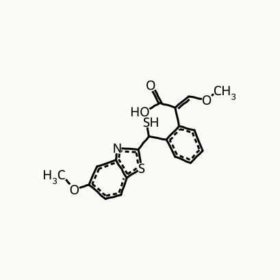 CO/C=C(/C(=O)O)c1ccccc1C(S)c1nc2cc(OC)ccc2s1